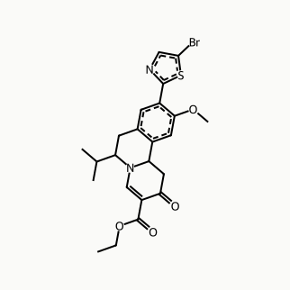 CCOC(=O)C1=CN2C(CC1=O)c1cc(OC)c(-c3ncc(Br)s3)cc1CC2C(C)C